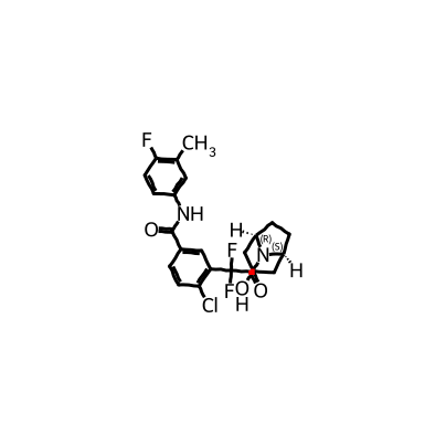 Cc1cc(NC(=O)c2ccc(Cl)c(C(F)(F)C(=O)N3[C@@H]4CC[C@H]3CC(O)C4)c2)ccc1F